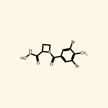 Cc1c(Br)cc(C(=O)N2CCC2C(=O)NO)cc1Br